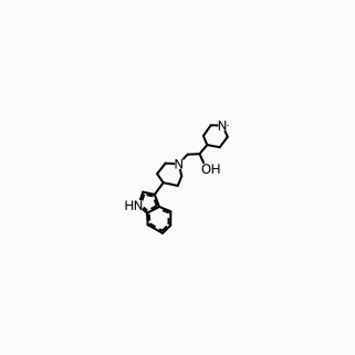 OC(CN1CCC(c2c[nH]c3ccccc23)CC1)C1CC[N]CC1